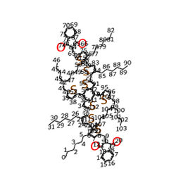 CCCCCCc1cc(C=C2C(=O)c3ccccc3C2=O)sc1-c1cc(CCCCCC)c(-c2cc3c(-c4ccc(CC(CCCC)CCCCCC)s4)c4sc(-c5sc(-c6sc(C=C7C(=O)c8ccccc8C7=O)cc6CCCCCC)cc5CCCCCC)cc4c(-c4ccc(CC(CCCC)CCCCCC)s4)c3s2)s1